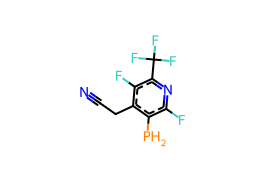 N#CCc1c(F)c(C(F)(F)F)nc(F)c1P